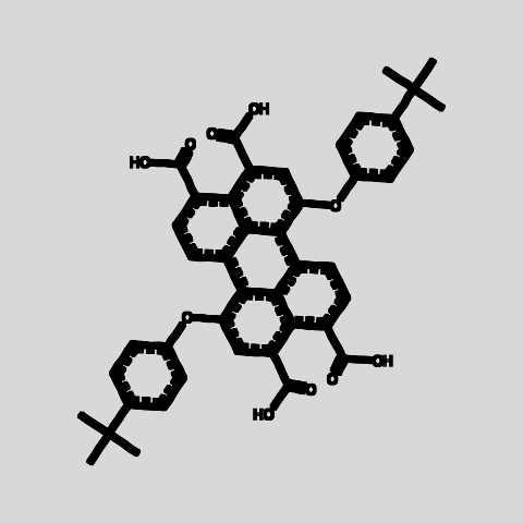 CC(C)(C)c1ccc(Oc2cc(C(=O)O)c3c(C(=O)O)ccc4c5c(Oc6ccc(C(C)(C)C)cc6)cc(C(=O)O)c6c(C(=O)O)ccc(c2c34)c65)cc1